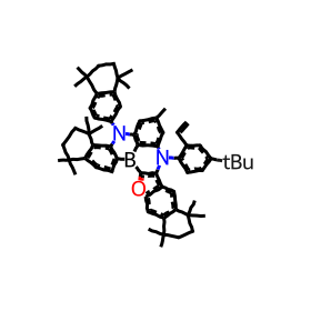 C=Cc1cc(C(C)(C)C)ccc1N1c2cc(C)cc3c2B(c2ccc4c(c2N3c2ccc3c(c2)C(C)(C)CCC3(C)C)C(C)(C)CCC4(C)C)c2oc3cc4c(cc3c21)C(C)(C)CCC4(C)C